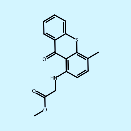 COC(=O)CNc1ccc(C)c2sc3ccccc3c(=O)c12